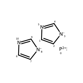 [P+2].c1c[n-]cn1.c1c[n-]cn1